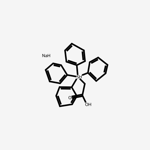 O=C(O)C[SH](c1ccccc1)(c1ccccc1)(c1ccccc1)c1ccccc1.[NaH]